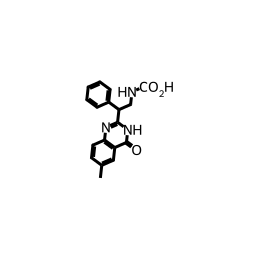 Cc1ccc2nc(C(CNC(=O)O)c3ccccc3)[nH]c(=O)c2c1